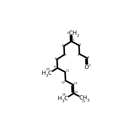 C=C(CCC=O)CCCC(C)CCC=C(C)C